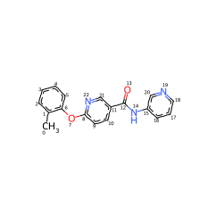 Cc1ccccc1Oc1ccc(C(=O)Nc2cccnc2)cn1